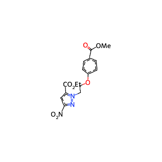 CCOC(=O)c1cc([N+](=O)[O-])nn1CCOc1ccc(C(=O)OC)cc1